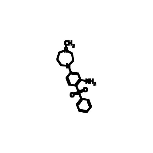 CN1CCCN(c2ccc(S(=O)(=O)c3ccccc3)c(N)c2)CC1